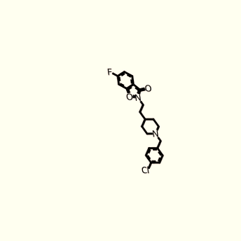 O=c1c2ccc(F)cc2on1CCC1CCN(Cc2ccc(Cl)cc2)CC1